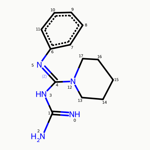 N=C(N)N/C(=N/c1ccccc1)N1CCCCC1